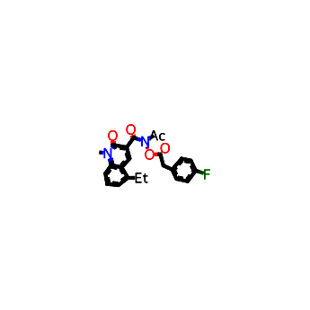 CCc1cccc2c1cc(C(=O)N(OC(=O)Cc1ccc(F)cc1)C(C)=O)c(=O)n2C